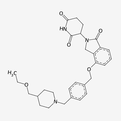 CCOCC1CCN(Cc2ccc(COc3cccc4c3CN(C3CCC(=O)NC3=O)C4=O)cc2)CC1